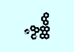 c1cc2cccc3c4cccc5cccc(c(c1)c23)c54.c1ccc(-c2cccc3ccccc23)nc1.c1ccc2c(c1)ccc1ccccc12.c1cocn1